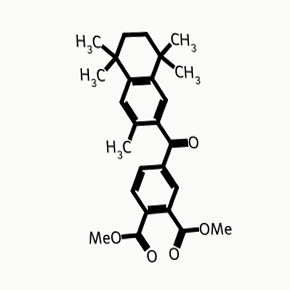 COC(=O)c1ccc(C(=O)c2cc3c(cc2C)C(C)(C)CCC3(C)C)cc1C(=O)OC